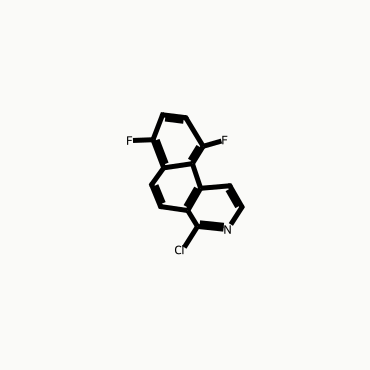 Fc1ccc(F)c2c1ccc1c(Cl)nccc12